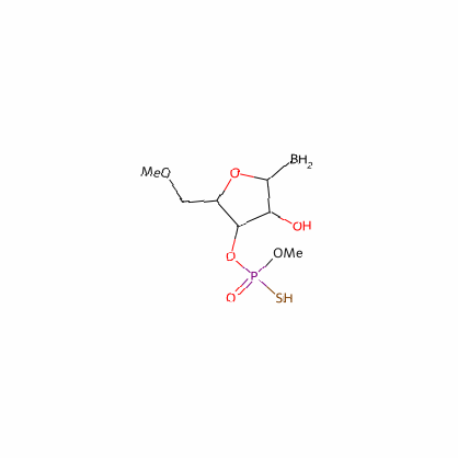 BC1OC(COC)C(OP(=O)(S)OC)C1O